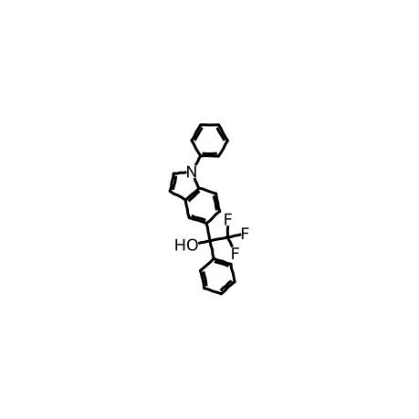 OC(c1ccccc1)(c1ccc2c(ccn2-c2ccccc2)c1)C(F)(F)F